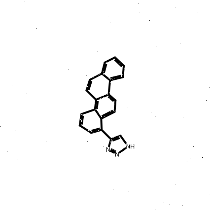 c1ccc2c(c1)ccc1c3cccc(-c4c[nH]nn4)c3ccc21